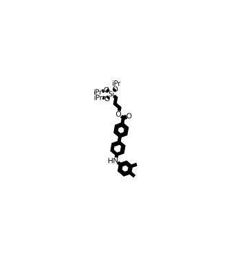 Cc1ccc(NC2C=CC(c3ccc(C(=O)OCCC[Si](OC(C)C)(OC(C)C)OC(C)C)cc3)=CC2)cc1C